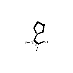 CC(C)[C@@H]([C@@H](C)S)N1CCCC1